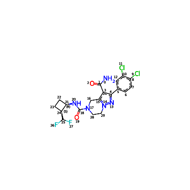 NC(=O)c1c(-c2ccc(Cl)c(Cl)c2)nn2c1CN(C(=O)N[C@@H]1CC[C@@H]1C(F)F)CC2